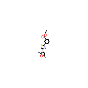 CCOC(=O)c1cccc(-c2nc(-c3cc(C)oc3C)cs2)c1